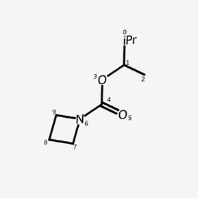 CC(C)C(C)OC(=O)N1CCC1